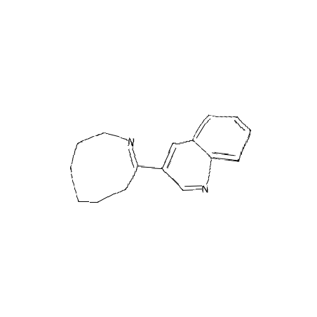 c1ccc2ncc(C3=NCCCCCC3)cc2c1